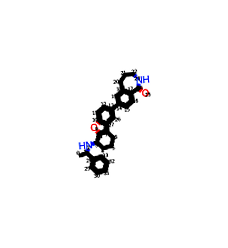 CC(NC1CCCc2c1oc1ccc(-c3ccc4c(c3)CCCNC4=O)cc21)c1ccccc1